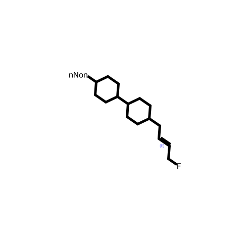 CCCCCCCCCC1CCC(C2CCC(C/C=C/CF)CC2)CC1